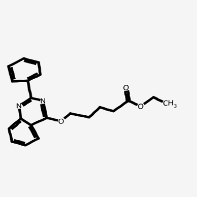 CCOC(=O)CCCCOc1nc(-c2ccccc2)nc2ccccc12